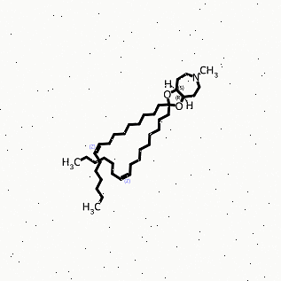 CCCCCC/C=C\CCCCCCCCC1(CCCCCCCC/C=C\CCCCCC)O[C@H]2CCN(C)CC[C@H]2O1